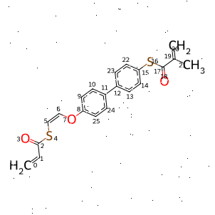 C=CC(=O)S/C=C\Oc1ccc(-c2ccc(SC(=O)C(=C)C)cc2)cc1